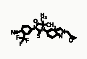 CC1(C)C(=O)N(c2ccc(C#N)c(C(F)(F)F)c2)C(=S)N1c1ccc2nn(CC3CO3)cc2c1